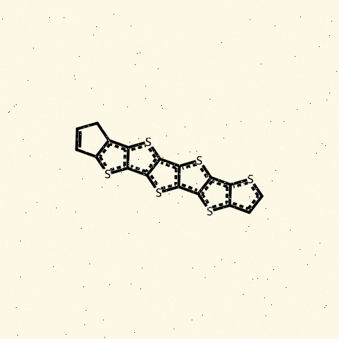 C1=Cc2sc3c(sc4c3sc3c5sc6ccsc6c5sc43)c2C1